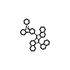 c1ccc(-n2c3ccccc3c3cc(C4=C5C(=C(c6cccc7ccccc67)c6c5ccc5ccccc65)c5ccc6ccccc6c54)ccc32)cc1